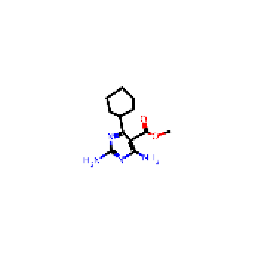 COC(=O)c1c(N)nc(N)nc1C1CCCCC1